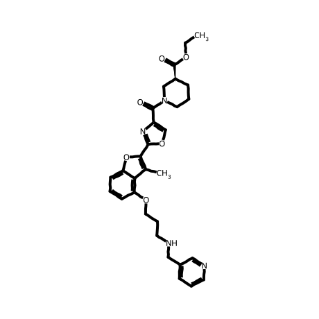 CCOC(=O)[C@H]1CCCN(C(=O)c2coc(-c3oc4cccc(OCCCNCc5cccnc5)c4c3C)n2)C1